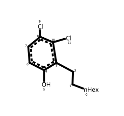 CCCCCCCCc1c(O)ccc(Cl)c1Cl